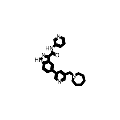 O=C(Nc1cccnc1)c1n[nH]c2ccc(-c3cncc(CN4CCCCCC4)c3)cc12